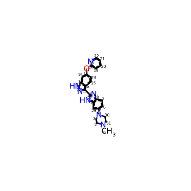 CN1CCN(c2ccc3nc(-c4n[nH]c5cc(Oc6ccccn6)ccc45)[nH]c3c2)CC1